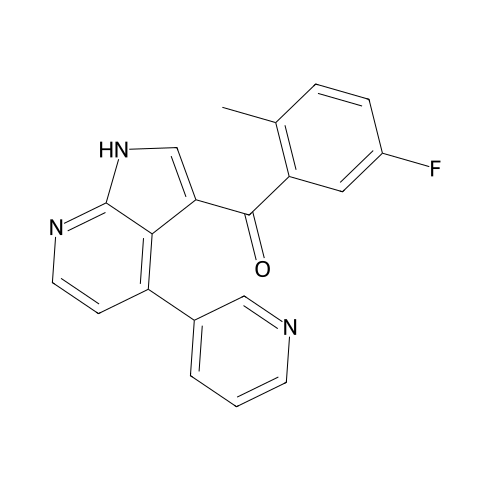 Cc1ccc(F)cc1C(=O)c1c[nH]c2nccc(-c3cccnc3)c12